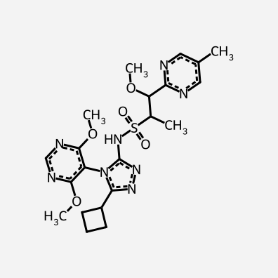 COc1ncnc(OC)c1-n1c(NS(=O)(=O)C(C)C(OC)c2ncc(C)cn2)nnc1C1CCC1